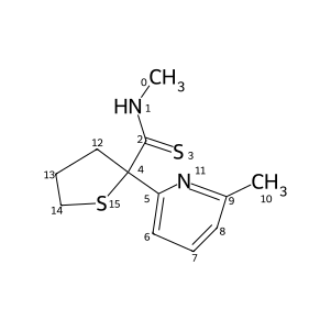 CNC(=S)C1(c2cccc(C)n2)CCCS1